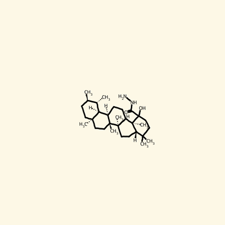 C[C@@H]1[C@H]2[C@H]3CC[C@@H]4[C@]5(C)[C@@H](CC[C@@]4(C)[C@]3(C)CC[C@@]2(C)CC[C@H]1C)C(C)(C)CCC5(O)C(=O)NN